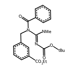 CCOC(=O)c1cccc(CN(C(=O)c2ccccc2)C(=NC(=O)OC(C)(C)C)NC)c1